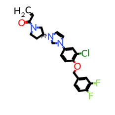 C=CC(=O)N1CC[C@@H](N2C=CN(c3ccc(OCc4ccc(F)c(F)c4)c(Cl)c3)C2)C1